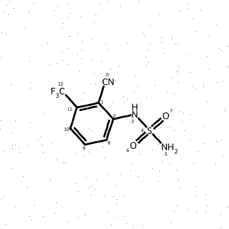 N#Cc1c(NS(N)(=O)=O)cccc1C(F)(F)F